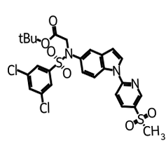 CC(C)(C)OC(=O)CN(c1ccc2c(ccn2-c2ccc(S(C)(=O)=O)cn2)c1)S(=O)(=O)c1cc(Cl)cc(Cl)c1